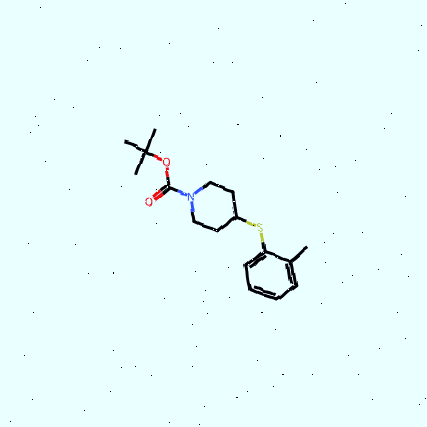 Cc1ccccc1SC1CCN(C(=O)OC(C)(C)C)CC1